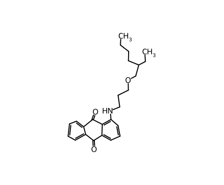 CCCCC(CC)COCCCNc1cccc2c1C(=O)c1ccccc1C2=O